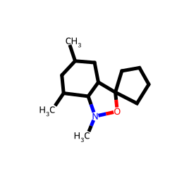 CC1CC(C)C2C(C1)C1(CCCC1)ON2C